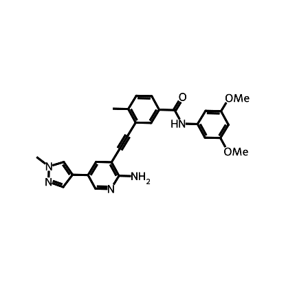 COc1cc(NC(=O)c2ccc(C)c(C#Cc3cc(-c4cnn(C)c4)cnc3N)c2)cc(OC)c1